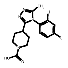 Cc1nnc(C2CCN(C(=O)O)CC2)n1-c1ccc(Cl)cc1Cl